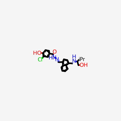 CC(C)C(CO)NCc1ccc(/C=N/NC(=O)c2ccc(O)c(Cl)c2)c2ccccc12